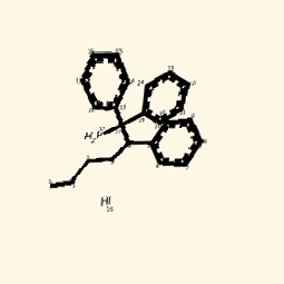 CCCCC(c1ccccc1)C(P)(c1ccccc1)c1ccccc1.I